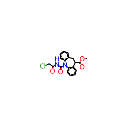 COC(=O)C1Cc2ccccc2N(C(=O)NC(=O)CCl)c2ccccc21